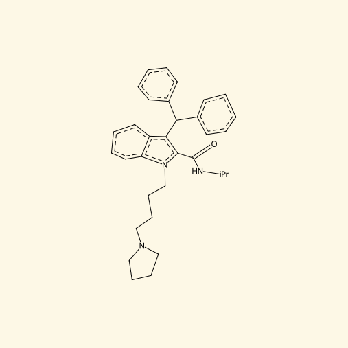 CC(C)NC(=O)c1c(C(c2ccccc2)c2ccccc2)c2ccccc2n1CCCCN1CCCC1